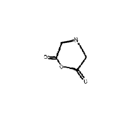 O=C1C[N]CC(=O)O1